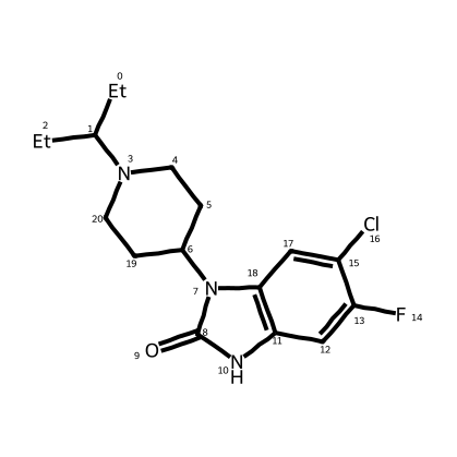 CCC(CC)N1CCC(n2c(=O)[nH]c3cc(F)c(Cl)cc32)CC1